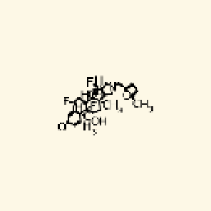 Cc1ccc(CN2C[C@@H]3C[C@H]4[C@@H]5C[C@H](F)C6=CC(=O)C=C[C@]6(C)[C@@]5(F)[C@@H](O)C[C@]4(C)[C@]3(C(=O)CF)C2)o1